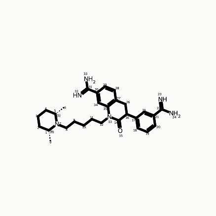 C[C@@H]1CCC[C@H](C)N1CCCCCN1C(=O)C(c2cccc(C(=N)N)c2)Cc2ccc(C(=N)N)cc21